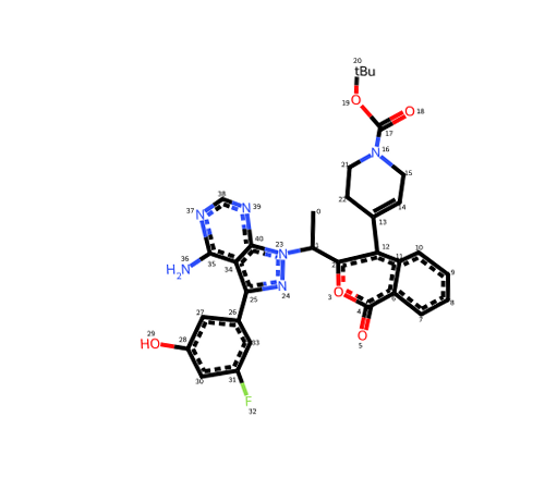 CC(c1oc(=O)c2ccccc2c1C1=CCN(C(=O)OC(C)(C)C)CC1)n1nc(-c2cc(O)cc(F)c2)c2c(N)ncnc21